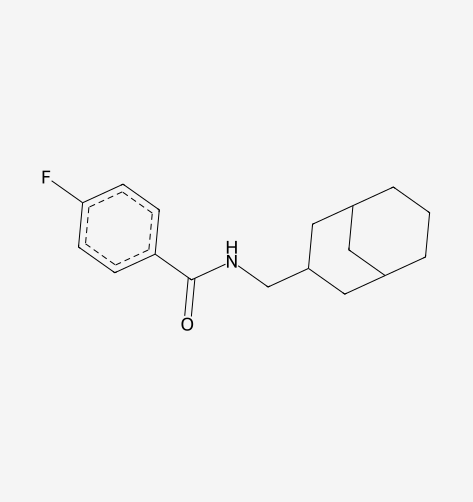 O=C(NCC1CC2CCCC(C2)C1)c1ccc(F)cc1